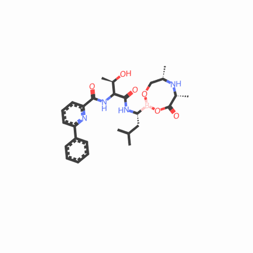 CC(C)C[C@H](NC(=O)C(NC(=O)c1cccc(-c2ccccc2)n1)[C@@H](C)O)B1OC[C@H](C)N[C@H](C)C(=O)O1